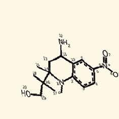 CN1c2ccc([N+](=O)[O-])cc2C(N)CC1(C)C(C)(C)CO